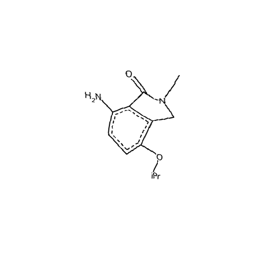 CC(C)Oc1ccc(N)c2c1CN(C)C2=O